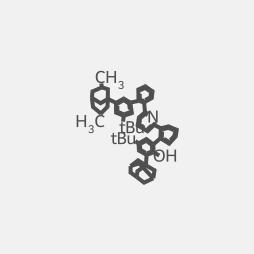 CC1CC2CC(C)CC(c3cc(-c4ccccc4-c4cccc(-c5ccccc5-c5cc(C(C)(C)C)cc(C67CC8CC(CC(C8)C6)C7)c5O)n4)cc(C(C)(C)C)c3)(C1)C2